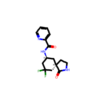 O=C(N[C@@H]1CC(F)(F)C[C@@]2(CCNC2=O)C1)c1ccccn1